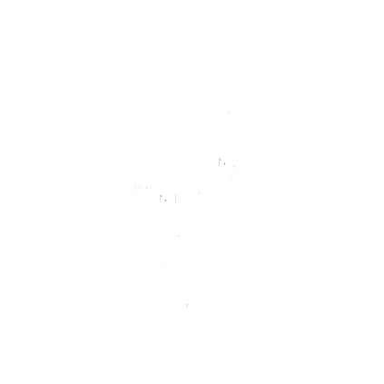 O=C(NO)C(c1ccccc1)c1cccc(N2CCC(CO)CC2)c1